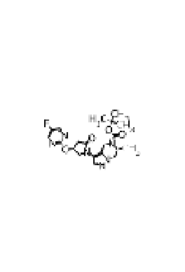 C[C@H]1Cn2ncc(N3C[C@@H](Oc4ncc(F)cn4)CC3=O)c2CN1C(=O)OC(C)(C)C